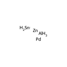 [AlH3].[Pd].[SnH2].[Zn]